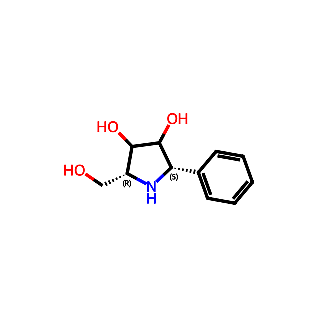 OC[C@H]1N[C@@H](c2ccccc2)C(O)C1O